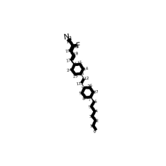 CCCCCCC[C@H]1CC[C@H](CC[C@H]2CC[C@H](C=CC=C(F)C#N)CC2)CC1